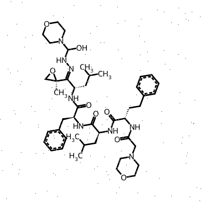 CC(C)C[C@H](NC(=O)[C@H](CCc1ccccc1)NC(=O)CN1CCOCC1)C(=O)N[C@@H](Cc1ccccc1)C(=O)N[C@@H](CC(C)C)/C(=N/NC(O)N1CCOCC1)[C@@]1(C)CO1